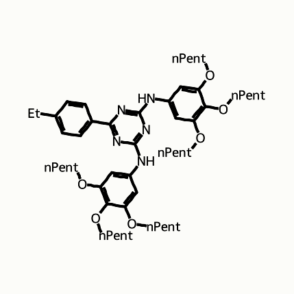 [CH2]Cc1ccc(-c2nc(Nc3cc(OCCCCC)c(OCCCCC)c(OCCCCC)c3)nc(Nc3cc(OCCCCC)c(OCCCCC)c(OCCCCC)c3)n2)cc1